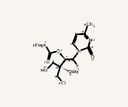 CCCCCCCC(=O)O[C@@H](C(F)n1ccc(C)nc1=O)[C@](CO)(CCl)OC